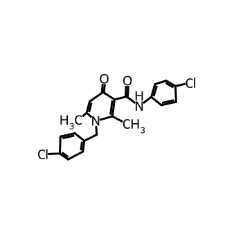 Cc1cc(=O)c(C(=O)Nc2ccc(Cl)cc2)c(C)n1Cc1ccc(Cl)cc1